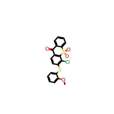 COc1ccccc1Sc1ccc2c(c1Cl)S(=O)(=O)c1ccccc1C2=O